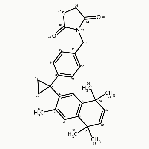 Cc1cc2c(cc1C1(c3ccc(CN4C(=O)CSC4=O)cc3)CC1)C(C)(C)C=CC2(C)C